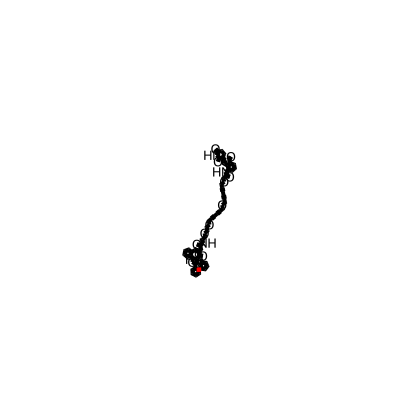 O=C(CN1Cc2ccccc2[C@@H]2OC(c3ccccc3)=N[C@]2(Cc2ccccc2)C1=O)NCCOCCOCC#CC#CCOCC#CC#CCOCC(=O)Nc1cccc2c1CN(C1CCC(=O)NC1=O)C2=O